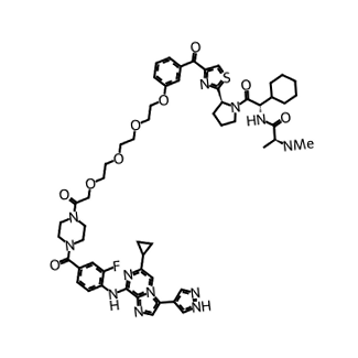 CN[C@@H](C)C(=O)N[C@H](C(=O)N1CCC[C@H]1c1nc(C(=O)c2cccc(OCCOCCOCCOCC(=O)N3CCN(C(=O)c4ccc(Nc5nc(C6CC6)cn6c(-c7cn[nH]c7)cnc56)c(F)c4)CC3)c2)cs1)C1CCCCC1